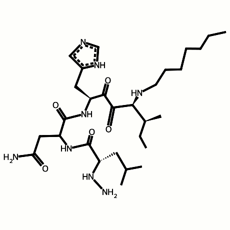 CCCCCCCN[C@H](C(=O)C(=O)[C@H](Cc1cnc[nH]1)NC(=O)C(CC(N)=O)NC(=O)[C@H](CC(C)C)NN)[C@@H](C)CC